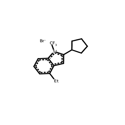 CCc1cccc2c1cc(C1CCCC1)[s+]2C(F)(F)F.[Br-]